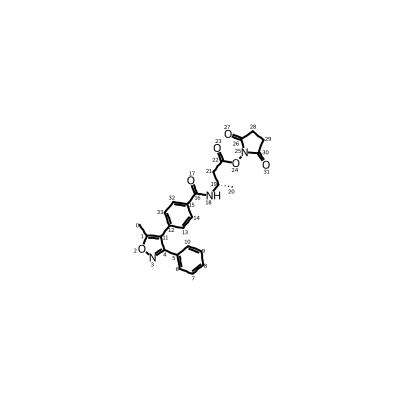 Cc1onc(-c2ccccc2)c1-c1ccc(C(=O)N[C@@H](C)CC(=O)ON2C(=O)CCC2=O)cc1